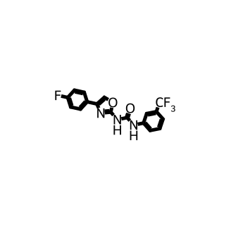 O=C(Nc1cccc(C(F)(F)F)c1)Nc1nc(-c2ccc(F)cc2)co1